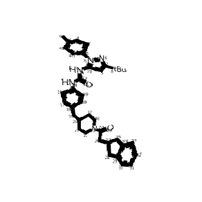 Cc1ccc(-n2nc(C(C)(C)C)cc2NC(=O)Nc2ccc(CC3CCN(C(=O)CC4Cc5ccccc5C4)CC3)cc2)cc1